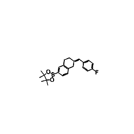 CC1(C)OB(c2ccc3c(c2)CC/C(=C/c2ccc(F)cc2)C3)OC1(C)C